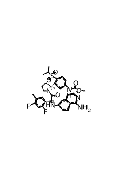 COC(=O)Nc1ccc(S(=O)(=O)C(C)C)c([C@H]2CCCN2C(=O)[C@@H](Nc2ccc3c(N)nccc3c2)c2cc(C)c(F)cc2F)c1